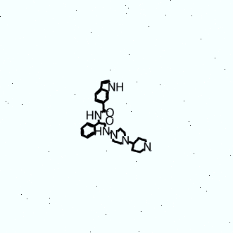 CN1CCC(N2CCN(NC(=O)C(NC(=O)c3ccc4cc[nH]c4c3)c3ccccc3)CC2)CC1